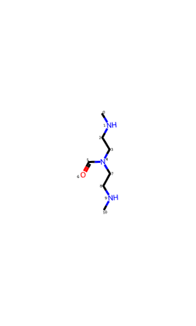 CNCCN(C=O)CCNC